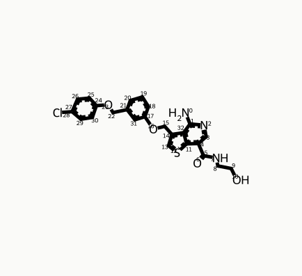 Nc1ncc(C(=O)NCCO)c2scc(COc3cccc(COc4ccc(Cl)cc4)c3)c12